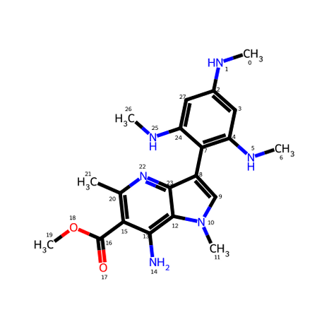 CNc1cc(NC)c(-c2cn(C)c3c(N)c(C(=O)OC)c(C)nc23)c(NC)c1